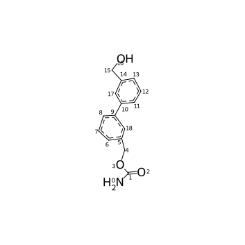 NC(=O)OCc1cccc(-c2cccc(CO)c2)c1